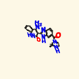 C[C@H]1CN(C(=O)c2ccc3nc(-c4c(N)c5ccccc5[nH]c4=O)[nH]c3c2)CCN1